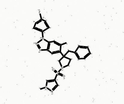 Cc1cc2c(cc1C1(Cc3ccccc3)CCN(S(=O)(=O)c3cnn(C)c3)C1)nnn2-c1ccc(F)cc1